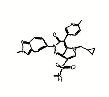 CNS(=O)(=O)c1cn(CC2CC2)c2c(-c3ccc(C)nc3)c(=O)n(-c3ccc4nn(C)cc4c3)nc12